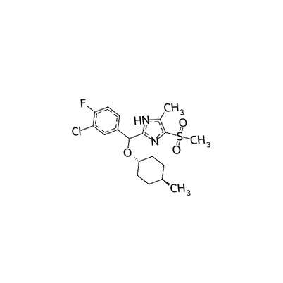 Cc1[nH]c(C(O[C@H]2CC[C@H](C)CC2)c2ccc(F)c(Cl)c2)nc1S(C)(=O)=O